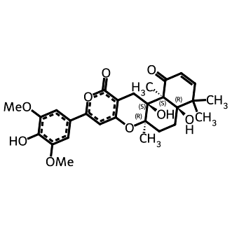 COc1cc(-c2cc3c(c(=O)o2)C[C@]2(O)[C@@]4(C)C(=O)C=CC(C)(C)[C@]4(O)CC[C@@]2(C)O3)cc(OC)c1O